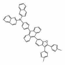 Cc1ccc(-c2oc3cc(-c4c5ccccc5c(-c5ccc(N(c6ccc7ccccc7c6)c6ccc7ccccc7c6)cc5)c5ccccc45)ccc3c2-c2ccc(C)cc2)cc1